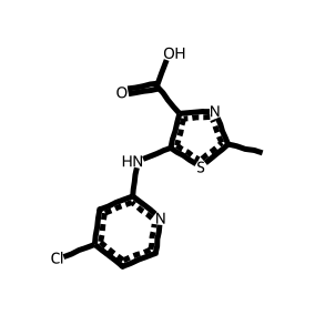 Cc1nc(C(=O)O)c(Nc2cc(Cl)ccn2)s1